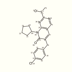 C[S+]([O-])c1ncc2cc(Cc3ccc(Cl)cc3)c(=O)n(C3CCCC3)c2n1